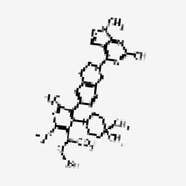 Cc1nc(N2CCc3cc(-c4c(C)nc(C)c(C(OC(C)(C)C)C(=O)O)c4N4CCC(C)(C)CC4)ccc3C2)c2cnn(C)c2n1